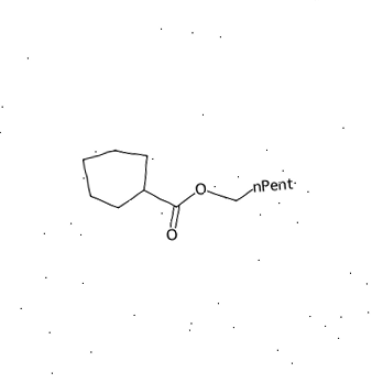 CCCC[CH]COC(=O)C1CCCCC1